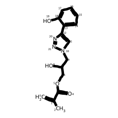 C=C(C)C(=O)OCC(O)Cn1cc(-c2ccccc2O)nn1